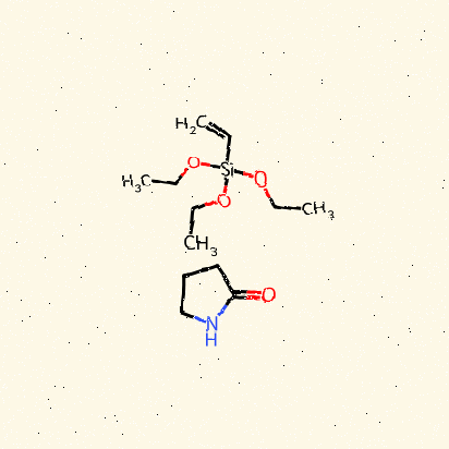 C=C[Si](OCC)(OCC)OCC.O=C1CCCN1